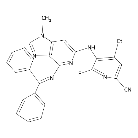 CCc1cc(C#N)nc(F)c1Nc1cc2c(ncn2C)c(N=C(c2ccccc2)c2ccccc2)n1